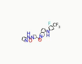 O=C(Nc1ccccn1)N1CCC(C(=O)N2CCc3c(cccc3Nc3ccc(C(F)(F)F)c(F)c3)C2)C1